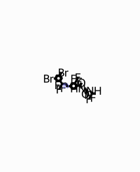 CC(NC(=O)CNC(=O)c1ccc(/C=C/C(c2cc(Br)cc(Br)c2)C(F)(F)F)cc1C(F)(F)F)C(F)(F)F